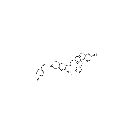 Nc1cc2c(cc1OCC1COC(Cn3ccnc3)(c3ccc(Cl)cc3Cl)O1)CCN(C/C=C\c1ccc(Cl)cc1)C2